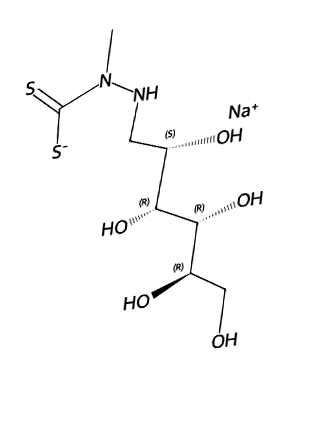 CN(NC[C@H](O)[C@@H](O)[C@H](O)[C@H](O)CO)C(=S)[S-].[Na+]